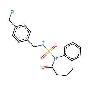 O=C1CCCc2ccccc2N1S(=O)(=O)NCc1ccc(CCl)cc1